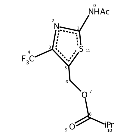 CC(=O)Nc1nc(C(F)(F)F)c(COC(=O)C(C)C)s1